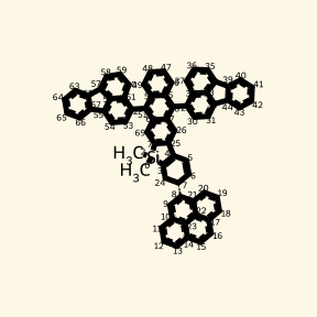 C[Si]1(C)C2=C(C=C[C@H](c3cc4cccc5ccc6cccc3c6c54)C2)c2cc3c(-c4ccc5c6c(cccc46)-c4ccccc4-5)c4ccccc4c(-c4ccc5c6c(cccc46)-c4ccccc4-5)c3cc21